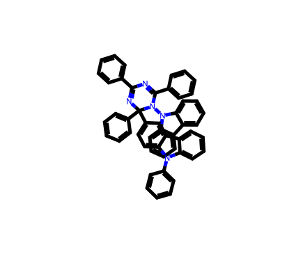 c1ccc(C2=NC(c3ccccc3)(c3ccc4c(c3)c3ccccc3n4-c3ccccc3)N(n3c4ccccc4c4ccccc43)C(c3ccccc3)=N2)cc1